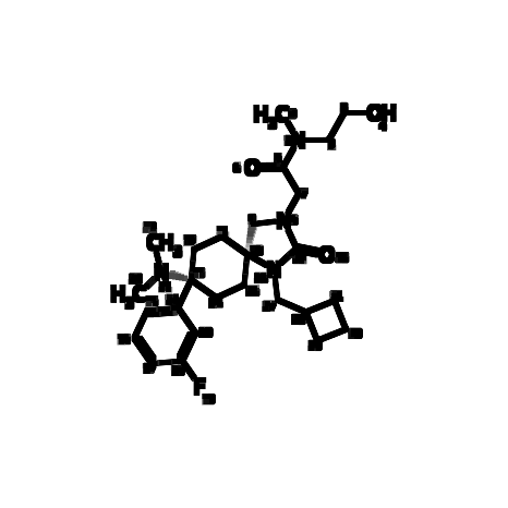 CN(CCO)C(=O)CN1C[C@]2(CC[C@@](c3cccc(F)c3)(N(C)C)CC2)N(CC2CCC2)C1=O